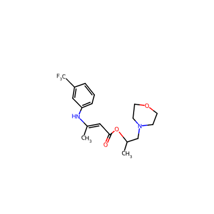 C/C(=C\C(=O)OC(C)CN1CCOCC1)Nc1cccc(C(F)(F)F)c1